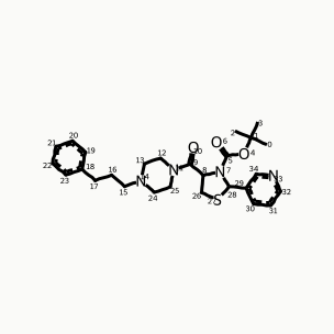 CC(C)(C)OC(=O)N1C(C(=O)N2CCN(CCCc3ccccc3)CC2)CSC1c1cccnc1